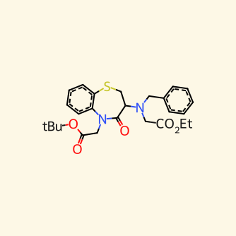 CCOC(=O)CN(Cc1ccccc1)C1CSc2ccccc2N(CC(=O)OC(C)(C)C)C1=O